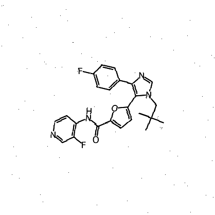 CC(C)(C)Cn1cnc(-c2ccc(F)cc2)c1-c1ccc(C(=O)Nc2ccncc2F)o1